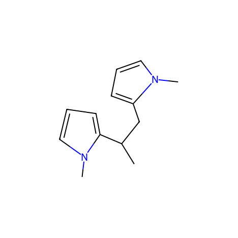 CC(Cc1cccn1C)c1cccn1C